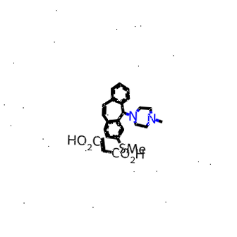 CSc1ccc2c(c1)C(N1CCN(C)CC1)c1ccccc1C=C2.O=C(O)C=CC(=O)O